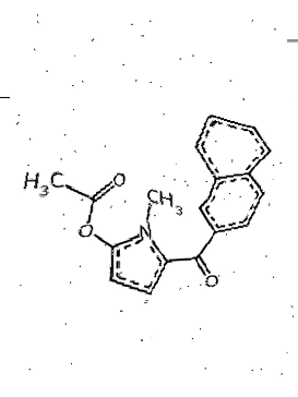 CC(=O)Oc1ccc(C(=O)c2ccc3ccccc3c2)n1C